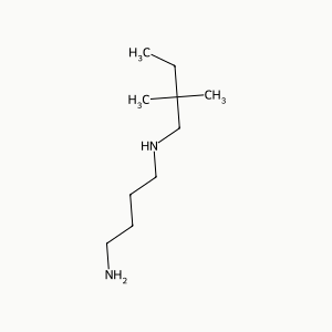 CCC(C)(C)CNCCCCN